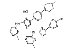 Cc1cccc(Nc2nc(-c3ccc(Br)cc3)cs2)n1.Cc1cccc(Nc2nc(-c3ccc(N4CCN(C)CC4)cc3)cs2)n1.Cl